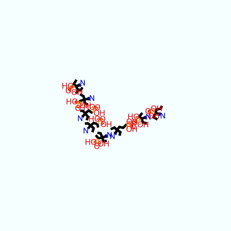 CCC(C#N)(CC)C(C)P(=O)(O)O.CCC(C#N)(CC)CC(C)P(=O)(O)O.CCC(C#N)(CC)CCCP(=O)(O)O.CCC(C#N)(CC)CCP(=O)(O)O.CCC(C#N)(CC)CP(=O)(O)O.CCC(C#N)(CC)P(=O)(O)O.CCC(C)C(C#N)(CC)P(=O)(O)O.CCCC(C#N)(CC)P(=O)(O)O